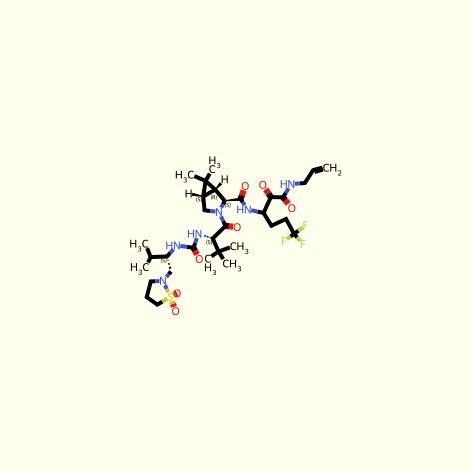 C=CCNC(=O)C(=O)C(CCC(F)(F)F)NC(=O)[C@@H]1[C@@H]2[C@H](CN1C(=O)[C@@H](NC(=O)N[C@H](CN1CCCS1(=O)=O)C(C)C)C(C)(C)C)C2(C)C